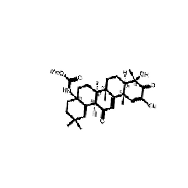 COC(=O)N[C@]12CCC(C)(C)CC1[C@@H]1C(=O)C=C3[C@@]4(C)C=C(C#N)C(=O)[C@@](C)(O)[C@@H]4CC[C@@]3(C)[C@]1(C)CC2